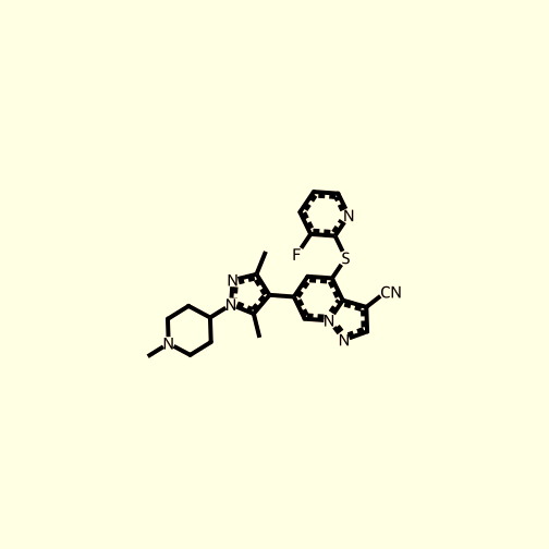 Cc1nn(C2CCN(C)CC2)c(C)c1-c1cc(Sc2ncccc2F)c2c(C#N)cnn2c1